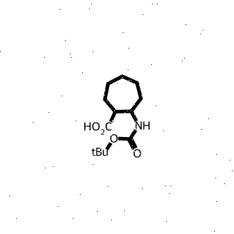 CC(C)(C)OC(=O)NC1CCCCCC1C(=O)O